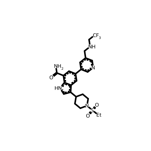 CCS(=O)(=O)N1CCC(c2c[nH]c3c(C(N)=O)cc(-c4cncc(CNCC(F)(F)F)c4)cc23)CC1